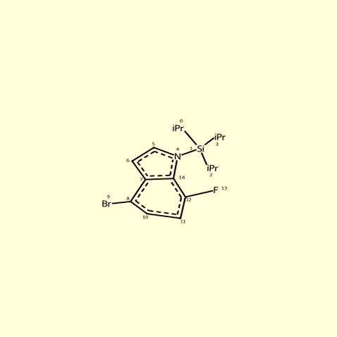 CC(C)[Si](C(C)C)(C(C)C)n1ccc2c(Br)ccc(F)c21